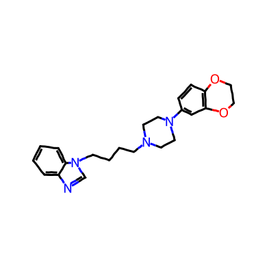 c1ccc2c(c1)ncn2CCCCN1CCN(c2ccc3c(c2)OCCO3)CC1